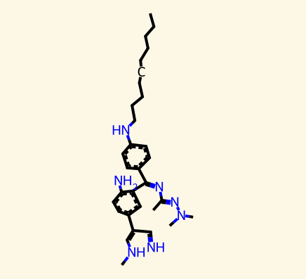 CCCCCCCCCCNc1ccc(/C(=N/C(C)=N/N(C)C)c2cc(/C(C=N)=C/NC)ccc2N)cc1